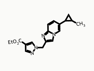 CCOC(=O)c1cnn(Cc2cn3cc(C4CC4C)ccc3n2)c1